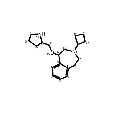 c1ccc2c(c1)CCN(C1CCC1)CC2OCC1CCCN1